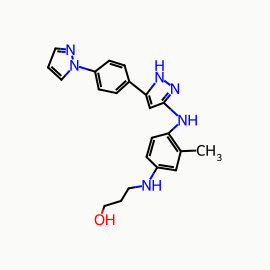 Cc1cc(NCCCO)ccc1Nc1cc(-c2ccc(-n3cccn3)cc2)[nH]n1